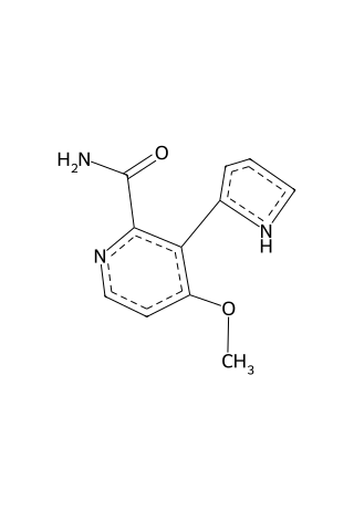 COc1ccnc(C(N)=O)c1-c1ccc[nH]1